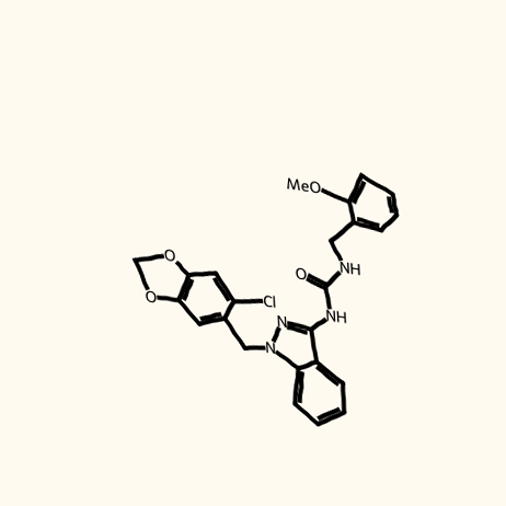 COc1ccccc1CNC(=O)Nc1nn(Cc2cc3c(cc2Cl)OCO3)c2ccccc12